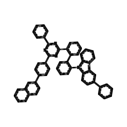 c1ccc(-c2ccc3c(c2)c2ccccc2n3-c2ccccc2-c2ccccc2-c2nc(-c3ccccc3)nc(-c3ccc(-c4ccc5ccccc5c4)cc3)n2)cc1